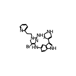 NC1=NC(Nc2ccc3[nH]cc(C4=CCNCC4)c3c2)=C(Br)CN1CCc1ccccn1